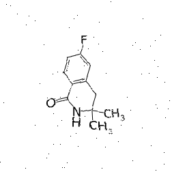 CC1(C)Cc2cc(F)ccc2C(=O)N1